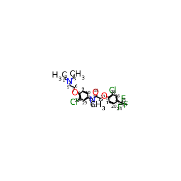 CCN(CC)CCOc1ccc(N(C)C(=O)COc2ccc(C(F)(F)F)cc2Cl)cc1Cl